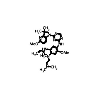 C=CC(=O)Nc1cc(Nc2ncnc(N3CC(C)(C)c4nc(OC)ccc43)n2)c(OC)cc1N(C)CCN(C)C